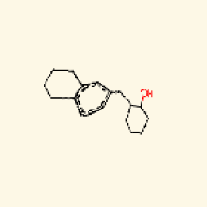 OC1CCCCC1Cc1ccc2c(c1)CCCC2